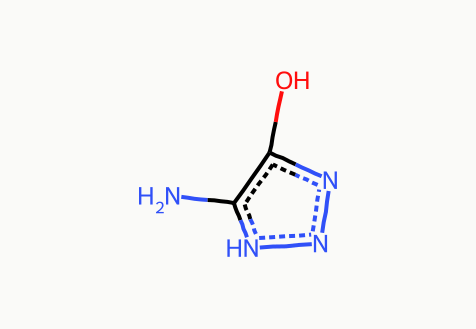 Nc1[nH]nnc1O